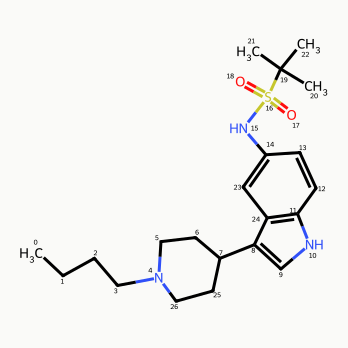 CCCCN1CCC(c2c[nH]c3ccc(NS(=O)(=O)C(C)(C)C)cc23)CC1